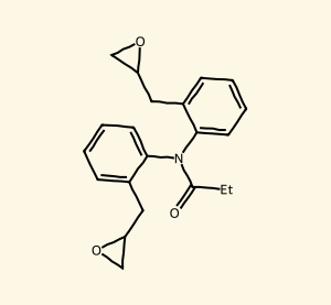 CCC(=O)N(c1ccccc1CC1CO1)c1ccccc1CC1CO1